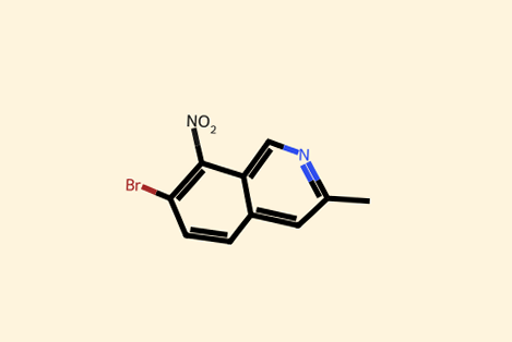 Cc1cc2ccc(Br)c([N+](=O)[O-])c2cn1